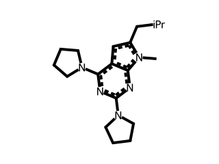 CC(C)Cc1cc2c(N3CCCC3)nc(N3CCCC3)nc2n1C